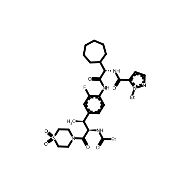 CCC(=O)N[C@@H](C(=O)N1CCS(=O)(=O)CC1)[C@@H](C)c1ccc(NC(=O)[C@@H](NC(=O)c2ccnn2CC)C2CCCCCC2)c(F)c1